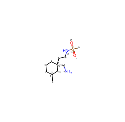 C[C@H]1CCC[C@@](CN)(CCNS(C)(=O)=O)C1